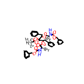 CC(C)[C@H](NC(=O)OCc1ccccc1)C(=O)OC(Cc1ccccc1)C1OC(C)(C)OC1C(Cc1ccccc1)OC(=O)[C@@H](NC(=O)OCc1ccccc1)C(C)C